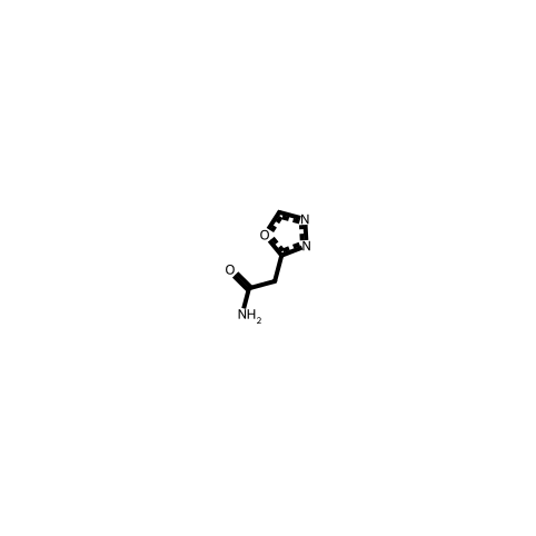 NC(=O)Cc1nnco1